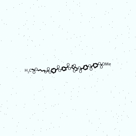 C=CC(=O)OCCCCOC(=O)Oc1ccc(C(=O)Oc2ccc(C(=O)O[C@H]3COC4C3OC[C@@H]4OC(=O)c3ccc(OC(=O)c4ccc(OC(=O)OC)cc4)cc3)cc2)cc1